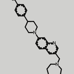 Clc1ccc(C2CCN(c3ccc4cc(CN5CCCCCC5)cnc4c3)CC2)cc1